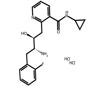 Cl.Cl.N[C@H](Cc1ccccc1F)[C@@H](O)Cc1ncccc1C(=O)NC1CC1